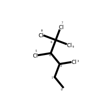 CCC(Cl)C(Cl)C(Cl)(Cl)Cl